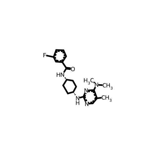 Cc1cnc(N[C@H]2CC[C@@H](NC(=O)c3cccc(F)c3)CC2)nc1N(C)C